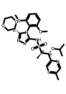 COc1cccc(OC)c1-n1c(NS(=O)(=O)[C@H](C)[C@H](OC(C)C)c2cnc(C)cn2)nnc1[C@@H]1COCCO1